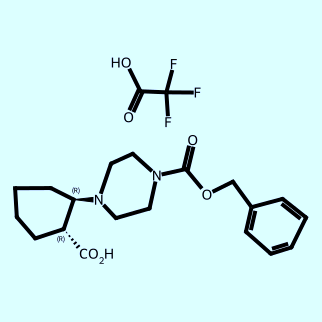 O=C(O)C(F)(F)F.O=C(O)[C@@H]1CCCC[C@H]1N1CCN(C(=O)OCc2ccccc2)CC1